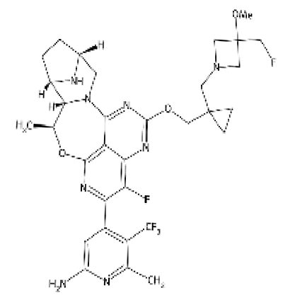 COC1(CF)CN(CC2(COc3nc4c5c(nc(-c6cc(N)nc(C)c6C(F)(F)F)c(F)c5n3)O[C@@H](C)[C@@H]3[C@@H]5CC[C@H](CN43)N5)CC2)C1